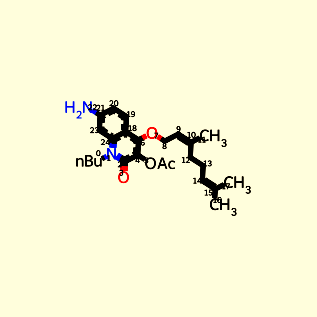 CCCCn1c(=O)c(OC(C)=O)c(OCC=C(C)CCC=C(C)C)c2ccc(N)cc21